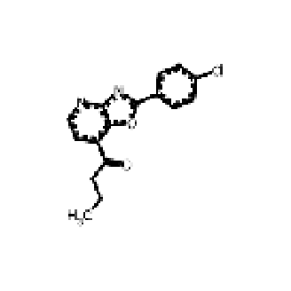 CCCC(=O)c1ccnc2nc(-c3ccc(Cl)cc3)oc12